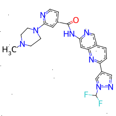 CN1CCN(c2cc(C(=O)Nc3cc4nc(-c5cnn(C(F)F)c5)ccc4cn3)ccn2)CC1